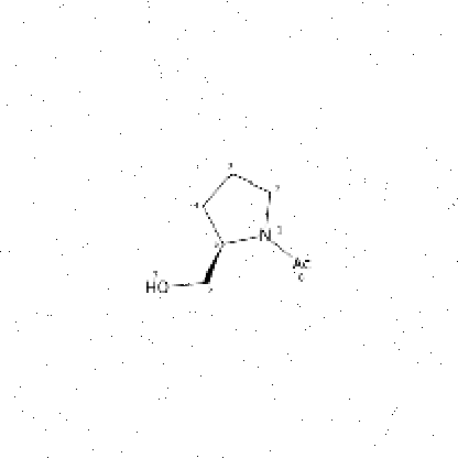 CC(=O)N1CCC[C@@H]1CO